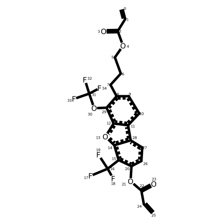 C=CC(=O)OCCCc1ccc2c(oc3c(C(F)(F)F)c(OC(=O)C=C)ccc32)c1OC(F)(F)F